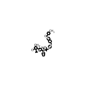 Cc1ccc(C(=O)N2CCC3(CCC(CN4CCN(CC5(COc6nc(N7CC8CCC(C7)N8)c7cnc(-c8cc(O)cc(Cl)c8C8CC8)c(F)c7n6)CC5)CC4)CC3)CC2)cc1